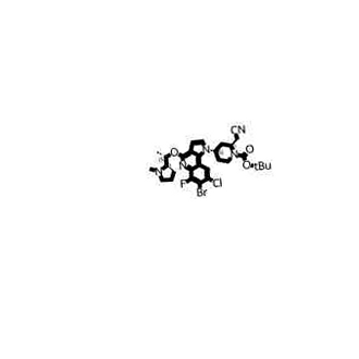 C[C@H](Oc1nc2c(F)c(Br)c(Cl)cc2c2c1ccn2[C@H]1CCN(C(=O)OC(C)(C)C)[C@H](CC#N)C1)[C@@H]1CCCN1C